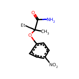 CCC(C)(Oc1ccc([N+](=O)[O-])cc1)C(N)=O